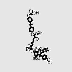 CCCCC(C1=NOC(C[Si](C)(C)C)C1)(c1ccc(OCC)cc1)c1ccc(OC(CC)(CCC)C(=O)CCCCC(=O)C(CCC)Oc2ccc(C(C)(C)c3ccc(OC(CC)CO)cc3)cc2)cc1